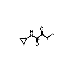 CCC(=O)C(=O)NC1CC1